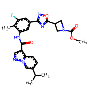 COC(=O)N1CC(c2nc(-c3cc(F)c(C)c(NC(=O)c4cnn5cc(C(C)C)ccc45)c3)no2)C1